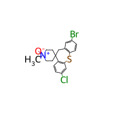 C[N+]1([O-])CCC2(CC1)Cc1cc(Br)ccc1Sc1cc(Cl)ccc12